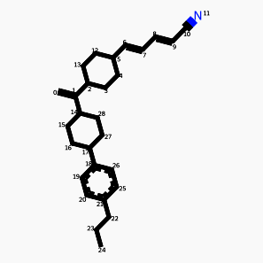 C=C(C1CCC(C=CC=CC#N)CC1)C1CCC(c2ccc(CCC)cc2)CC1